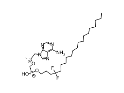 CCCCCCCCCCCCCCCCC(F)(F)CCCOP(=O)(O)CO[C@H](C)Cn1cnc2c(N)ncnc21